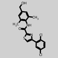 Cc1cc(CO)cc(C)c1NC(=O)c1nc(-c2cc(Cl)ccc2Cl)cs1